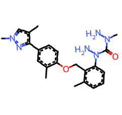 Cc1cc(-c2nn(C)cc2C)ccc1OCc1c(C)cccc1N(N)C(=O)N(C)N